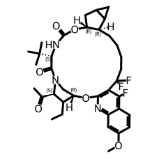 CCC1[C@@H]2CN(C(=O)[C@H](C(C)(C)C)NC(=O)O[C@@H]3CC4CC4[C@H]3CCCCC(F)(F)c3c(nc4cc(OC)ccc4c3F)O2)[C@@H]1C(C)=O